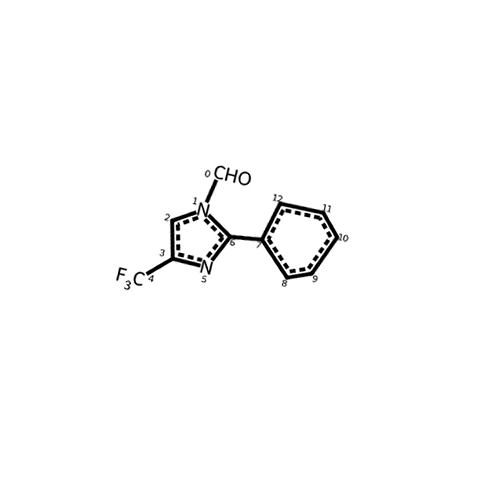 O=Cn1cc(C(F)(F)F)nc1-c1ccccc1